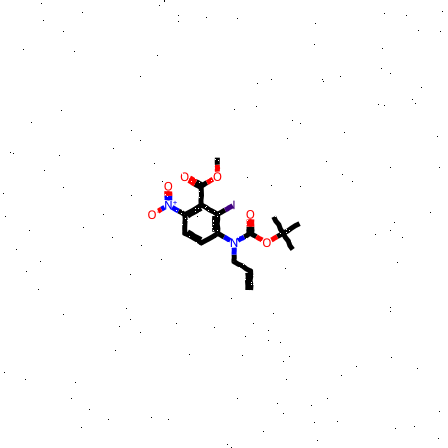 C=CCN(C(=O)OC(C)(C)C)c1ccc([N+](=O)[O-])c(C(=O)OC)c1I